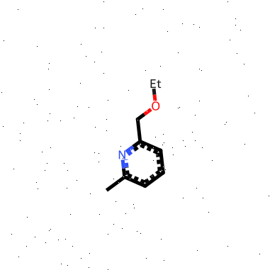 CCOCc1cccc(C)n1